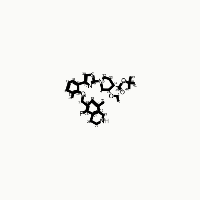 CCO[C@@H]1CN(c2nc(-c3cccc(C)c3OCc3cc(C)c4c(c3F)CCNC4)cs2)CC[C@@H]1C(=O)OC(C)(C)C